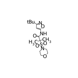 CC(C)(C)c1cc(NC(=O)C(C)(C)S(=O)(=O)N2CCOCC2)on1